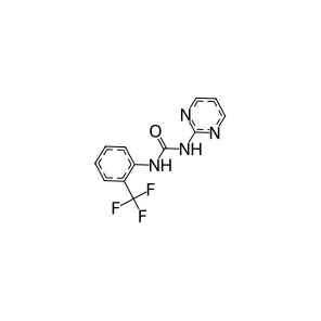 O=C(Nc1ncccn1)Nc1ccccc1C(F)(F)F